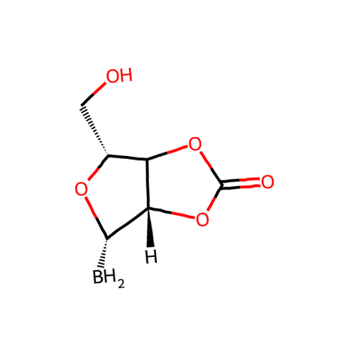 B[C@@H]1O[C@H](CO)C2OC(=O)O[C@@H]21